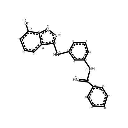 N=C(Nc1cccc(Nc2noc3c(Br)cccc23)c1)c1ccccc1